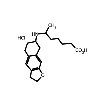 CC(CCCCC(=O)O)NC1CCc2cc3c(cc2C1)OCC3.Cl